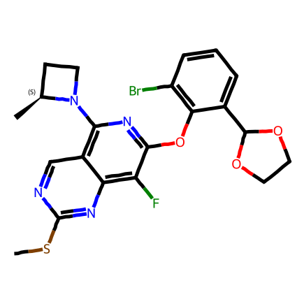 CSc1ncc2c(N3CC[C@@H]3C)nc(Oc3c(Br)cccc3C3OCCO3)c(F)c2n1